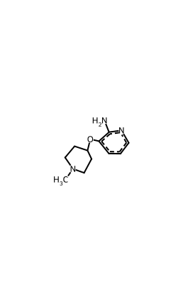 CN1CCC(Oc2cccnc2N)CC1